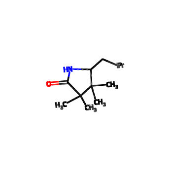 CC(C)CC1NC(=O)C(C)(C)C1(C)C